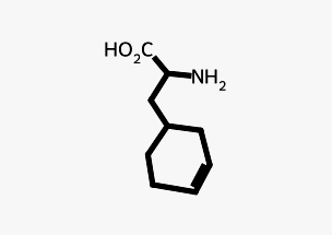 NC(CC1CC=CCC1)C(=O)O